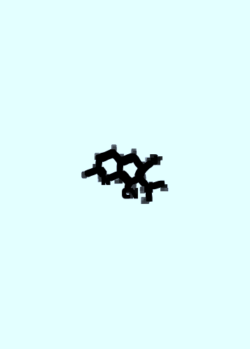 Cc1ccc2cc(Br)c(N(C)C)c(C#N)c2n1